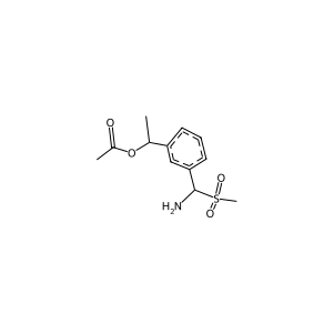 CC(=O)OC(C)c1cccc(C(N)S(C)(=O)=O)c1